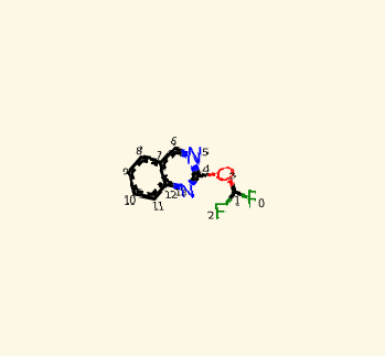 FC(F)Oc1n[c]c2ccccc2n1